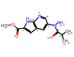 COC(=O)c1cc2cc(N(N)C(=O)C(C)C)cnc2[nH]1